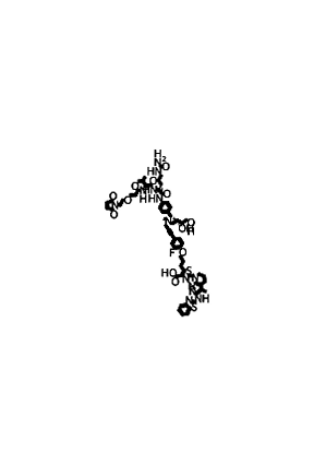 Cc1c(Nc2nc3ccccc3s2)nnc2c1CCCN2c1nc(C(=O)O)c(CCCOc2ccc(C#CC[N+](C)(CC[C@H](O)CO)Cc3ccc(NC(=O)[C@H](CCCNC(N)=O)NC(=O)[C@@H](NC(=O)CCOCCN4C(=O)C=CC4=O)C(C)C)cc3)cc2F)s1